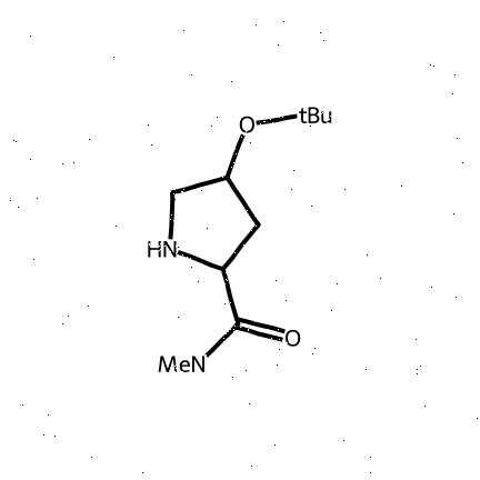 CNC(=O)C1CC(OC(C)(C)C)CN1